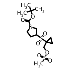 CC(C)(C)OC(=O)N1CCC(S(=O)(=O)C2(COS(C)(=O)=O)CC2)C1